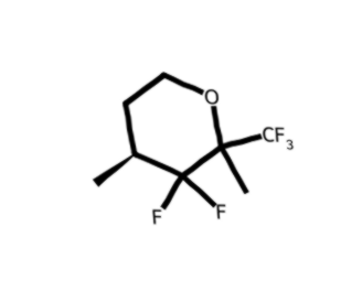 C[C@H]1CCOC(C)(C(F)(F)F)C1(F)F